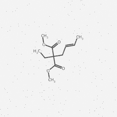 C/C=C/CC(CC)(C(=O)OC)C(=O)OC